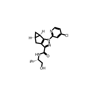 CC(C)[C@@H](CO)NC(=O)c1nn(-c2cc(Cl)ccn2)c2c1C[C@H]1C[C@@H]21